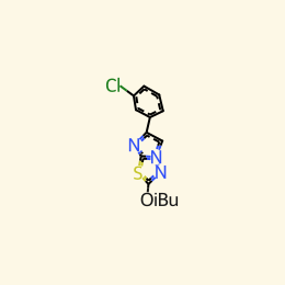 CC(C)COc1nn2cc(-c3cccc(Cl)c3)nc2s1